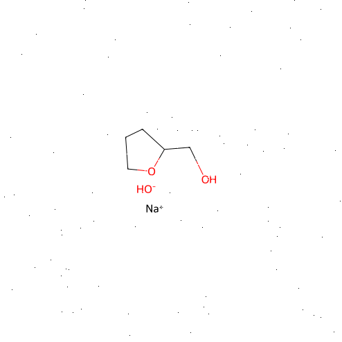 OCC1CCCO1.[Na+].[OH-]